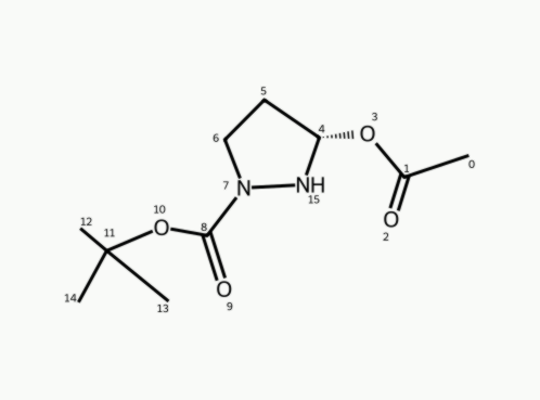 CC(=O)O[C@H]1CCN(C(=O)OC(C)(C)C)N1